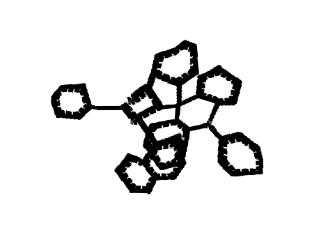 c1ccc(-c2nc3c(c(-c4cccc5ccccc45)n2)C2(c4ccccc4-3)c3ccccc3N(c3ccccc3)c3ccccc32)cc1